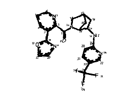 O=C(c1ncccc1-c1ncco1)N1CC2CC(Nc3ccc(C(F)(F)F)cn3)C1C2